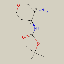 CC(C)(C)OC(=O)N[C@H]1CCOC[C@@H]1N